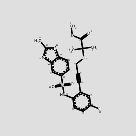 COC(=O)C(C)(C)OCC#Cc1cc(Cl)ccc1NS(=O)(=O)c1ccc2sc(C)nc2c1